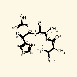 CC(C)[C@H](C)C(=O)N[C@@H](C)C(=O)N[C@@H](CC(=O)O)C(=O)c1cocn1